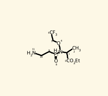 CCOC(=O)C(C)N(OCC(F)(F)F)[PH](=O)CCN